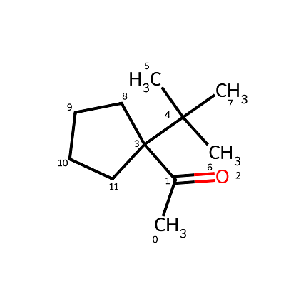 CC(=O)C1(C(C)(C)C)CCCC1